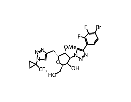 CO[C@@H]1[C@@H](n2cc(-c3ccc(Br)c(F)c3F)nn2)[C@@H](O)[C@@H](CO)O[C@@H]1Cc1cn(C2(C(F)(F)F)CC2)nn1